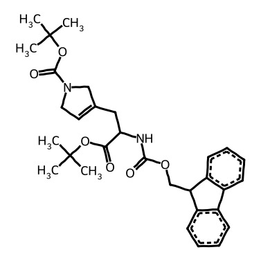 CC(C)(C)OC(=O)C(CC1=CCN(C(=O)OC(C)(C)C)C1)NC(=O)OCC1c2ccccc2-c2ccccc21